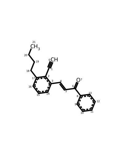 C#Cc1c(C=CC(=O)c2ccccc2)cccc1CCCC